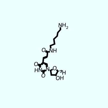 [2H]C[C@H]1O[C@@H](n2cc(/C=C/C(=O)NCCCCCCN)c(=O)[nH]c2=O)CC1O